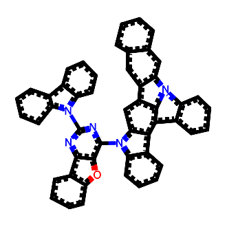 c1ccc2cc3c(cc2c1)c1cc2c(c4ccccc4n2-c2nc(-n4c5ccccc5c5ccccc54)nc4c2oc2ccccc24)c2c4ccccc4n3c12